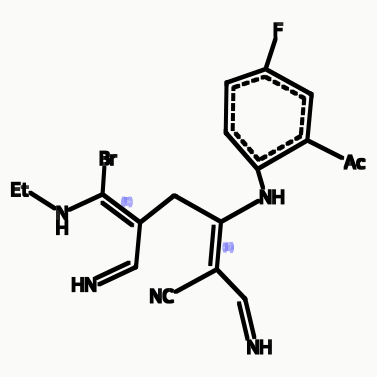 CCN/C(Br)=C(\C=N)C/C(Nc1ccc(F)cc1C(C)=O)=C(\C#N)C=N